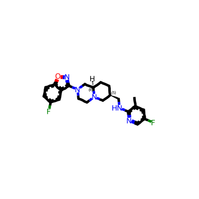 Cc1cc(F)cnc1NC[C@@H]1CC[C@@H]2CN(c3noc4ccc(F)cc34)CCN2C1